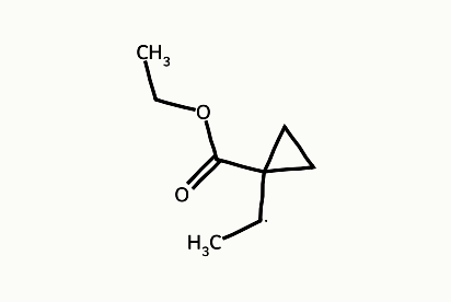 C[CH]C1(C(=O)OCC)CC1